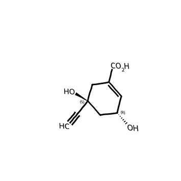 C#C[C@]1(O)CC(C(=O)O)=C[C@H](O)C1